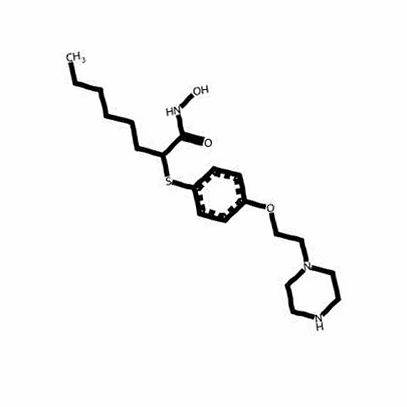 CCCCCCC(Sc1ccc(OCCN2CCNCC2)cc1)C(=O)NO